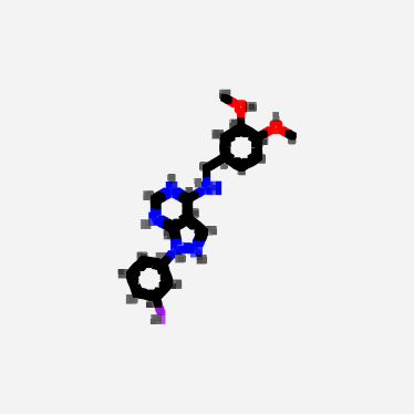 COc1ccc(CNc2ncnc3c2cnn3-c2cccc(I)c2)cc1OC